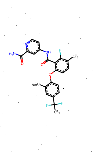 COc1cc(C(F)(F)C(F)(F)F)ccc1Oc1ccc(C(F)(F)F)c(F)c1C(=O)Nc1ccnc(C(N)=O)c1